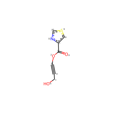 O=C(OC#CCO)c1cscn1